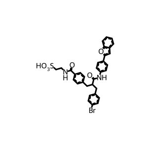 O=C(NCCS(=O)(=O)O)c1ccc(CC(Cc2ccc(Br)cc2)C(=O)Nc2ccc(-c3cc4ccccc4o3)cc2)cc1